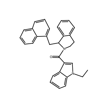 CCn1cc(C(=O)N2CCc3ccccc3C2Cc2cccc3ccccc23)c2ccccc21